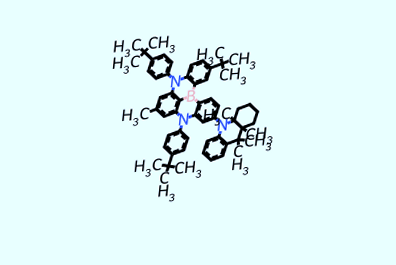 Cc1cc2c3c(c1)N(c1ccc(C(C)(C)C)cc1)c1cc(N4c5ccccc5C(C)(C)C5(C)CCCCC45C)ccc1B3c1cc(C(C)(C)C)ccc1N2c1ccc(C(C)(C)C)cc1